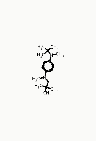 CN(CC(C)(C)C)c1ccc(N(C)C(C)(C)C)cc1